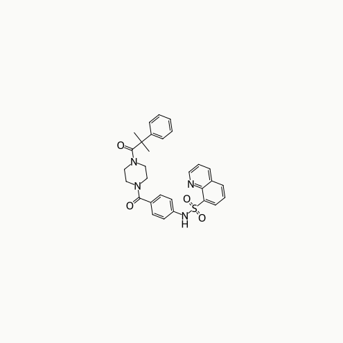 CC(C)(C(=O)N1CCN(C(=O)c2ccc(NS(=O)(=O)c3cccc4cccnc34)cc2)CC1)c1ccccc1